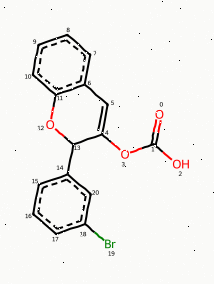 O=C(O)OC1=Cc2ccccc2OC1c1cccc(Br)c1